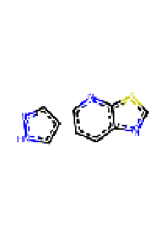 c1cn[nH]c1.c1cnc2scnc2c1